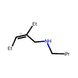 CC/C=C(/CC)CNCC(C)C